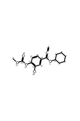 C=C=C(OC1CCCCC1)c1ccc(OC(=O)OC)c(Cl)c1